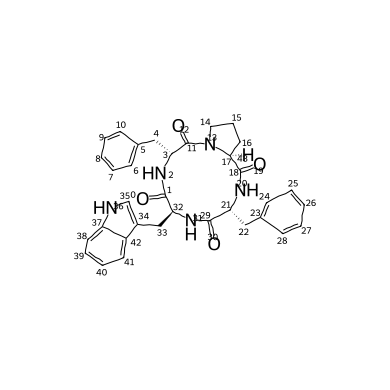 O=C1N[C@H](Cc2ccccc2)C(=O)N2CCC[C@H]2C(=O)N[C@H](Cc2ccccc2)C(=O)N[C@H]1Cc1c[nH]c2ccccc12